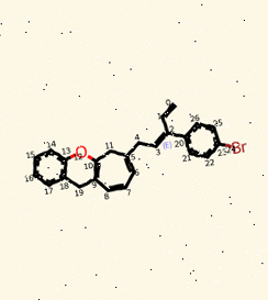 C=C/C(=C\CC1=CC=CC2=C(C1)Oc1ccccc1C2)c1ccc(Br)cc1